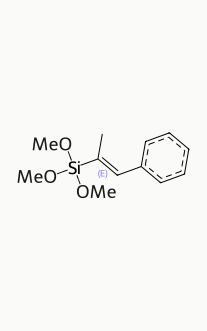 CO[Si](OC)(OC)/C(C)=C/c1ccccc1